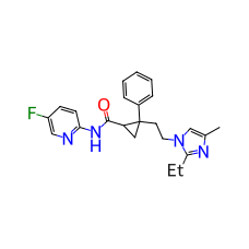 CCc1nc(C)cn1CCC1(c2ccccc2)CC1C(=O)Nc1ccc(F)cn1